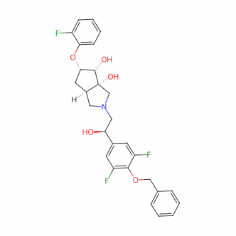 O[C@@H](CN1C[C@H]2C[C@H](Oc3ccccc3F)[C@H](O)[C@@]2(O)C1)c1cc(F)c(OCc2ccccc2)c(F)c1